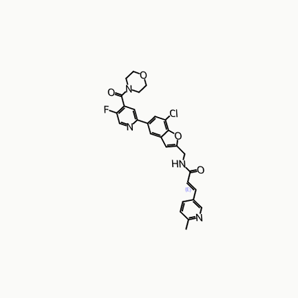 Cc1ccc(/C=C/C(=O)NCc2cc3cc(-c4cc(C(=O)N5CCOCC5)c(F)cn4)cc(Cl)c3o2)cn1